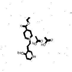 CC(=O)O.CC(=O)O.CCOC(=O)C1CCN(C/C=C2\CNCCC2O)CC1